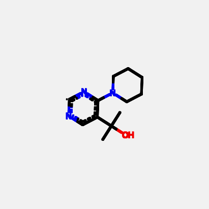 CC(C)(O)c1cn[c]nc1N1CCCCC1